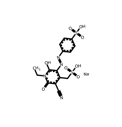 CCn1c(O)c(N=Nc2ccc(S(=O)(=O)O)cc2)c(CS(=O)(=O)O)c(C#N)c1=O.[Na]